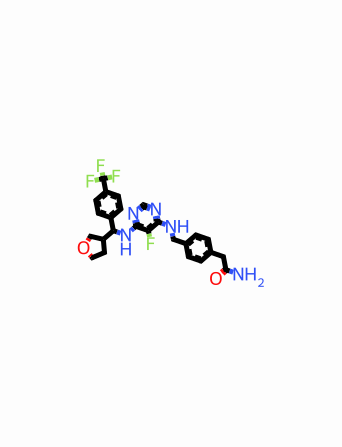 NC(=O)Cc1ccc(CNc2ncnc(NC(c3ccc(C(F)(F)F)cc3)C3CCOC3)c2F)cc1